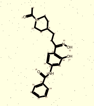 CC(=O)N1CCC(CCC(=NO)c2ccc(NC(=O)c3ccccc3)cc2O)CC1